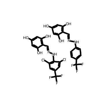 Oc1cc(O)c(C=NNc2c(Cl)cc(C(F)(F)F)cc2Cl)c(O)c1.Oc1cc(O)c(C=NNc2ccc(C(F)(F)F)cc2)c(O)c1